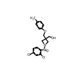 Cc1ccc(OCC2(CO)CN([S+]([O-])c3ccc(Cl)cc3Cl)C2)cc1